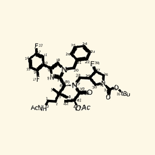 CC(=O)NCCC(C)(C)[C@H](c1nc(-c2cc(F)ccc2F)cn1Cc1ccccc1)N(CC1CN(C(=O)OC(C)(C)C)CC1F)C(=O)[C@H](C)OC(C)=O